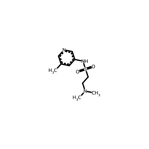 Cc1cncc(NS(=O)(=O)CCN(C)C)c1